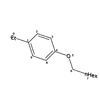 C[CH]c1ccc(OCCCCCCC)cc1